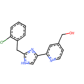 OCc1ccnc(-c2c[nH]c(Cc3ccccc3Cl)n2)c1